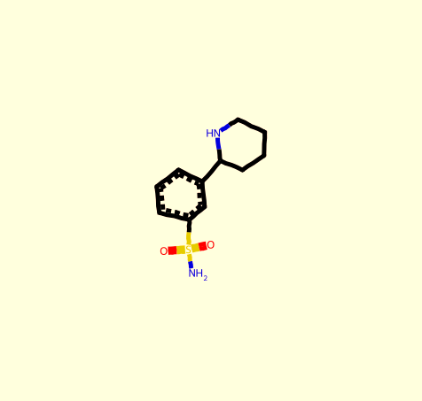 NS(=O)(=O)c1cccc(C2CCCCN2)c1